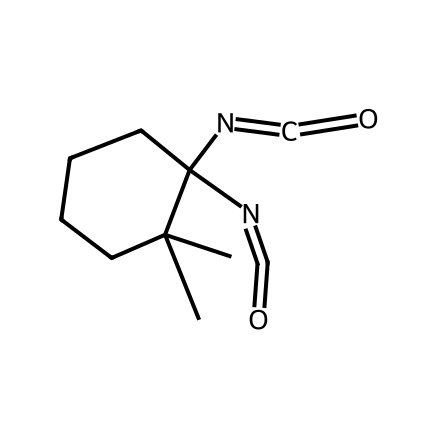 CC1(C)CCCCC1(N=C=O)N=C=O